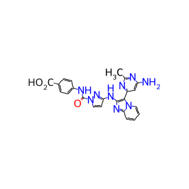 Cc1nc(N)cc(-c2c(Nc3ccn(C(=O)Nc4ccc(C(=O)O)cc4)n3)nc3ccccn23)n1